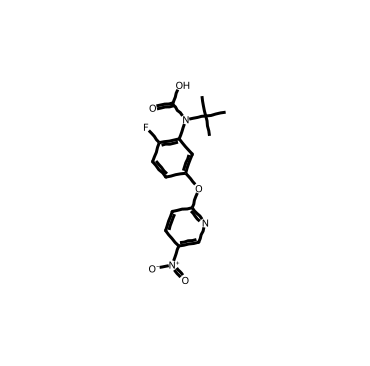 CC(C)(C)N(C(=O)O)c1cc(Oc2ccc([N+](=O)[O-])cn2)ccc1F